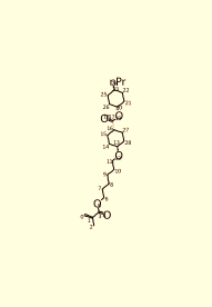 C=C(C)C(=O)OCCCCCCO[C@H]1CC[C@H](C(=O)O[C@H]2CC[C@H](CCC)CC2)CC1